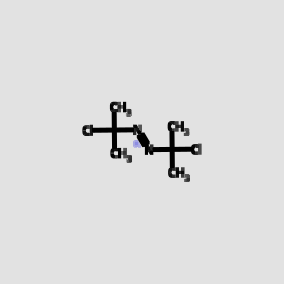 CC(C)(Cl)/N=N/C(C)(C)Cl